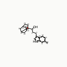 OC(CCc1c[nH]c2cc(F)ccc12)N1C2CC3CC(C2)CC1C3